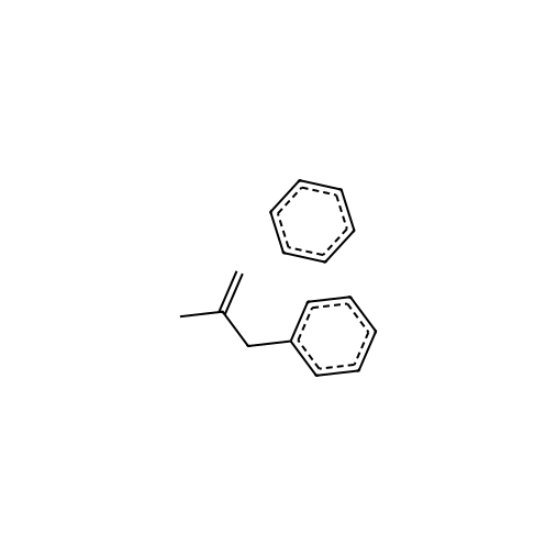 C=C(C)Cc1ccccc1.c1ccccc1